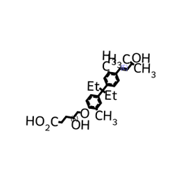 CCC(CC)(c1ccc(/C=C/C(C)(C)O)c(C)c1)c1ccc(OC[C@@H](O)CCC(=O)O)c(C)c1